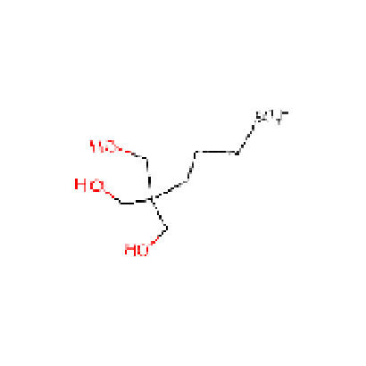 O=S(=O)(O)CCCC(CO)(CO)CO